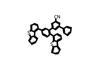 N#Cc1cc(-c2ccccc2)cc(-c2cc(-c3cccc4sc5ccccc5c34)ccc2-c2cccc3c2sc2ccccc23)c1